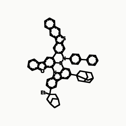 CCC1(c2ccc3c(c2)c2cc(C45CC6CC(CC(C6)C4)C5)cc4c2n3-c2c3c(cc5c2oc2ccccc25)-c2cc5c(cc2N(c2ccc(-c6ccccc6)cc2)B34)sc2cc3ccccc3cc25)CC2CCC(C2)C1